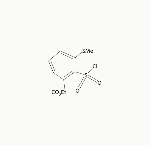 CCOC(=O)c1cccc(SC)c1S(=O)(=O)Cl